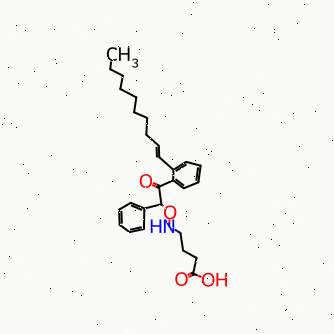 CCCCCCCCC=Cc1ccccc1C(=O)C(ONCCCC(=O)O)c1ccccc1